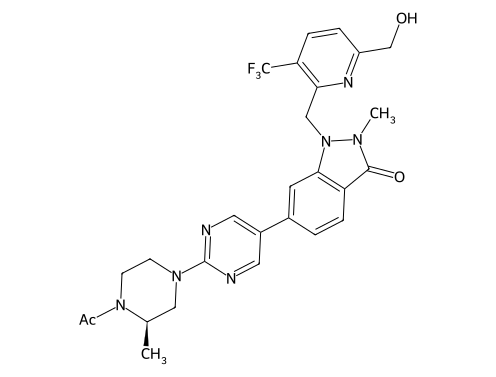 CC(=O)N1CCN(c2ncc(-c3ccc4c(=O)n(C)n(Cc5nc(CO)ccc5C(F)(F)F)c4c3)cn2)C[C@H]1C